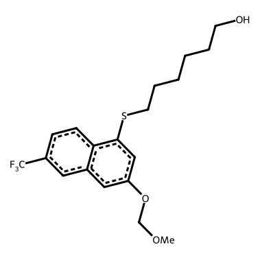 COCOc1cc(SCCCCCCO)c2ccc(C(F)(F)F)cc2c1